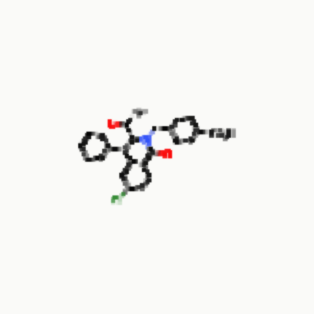 CCCC(=O)c1c(-c2ccccc2)c2cc(Cl)ccc2c(=O)n1Cc1ccc(C(=O)O)cc1